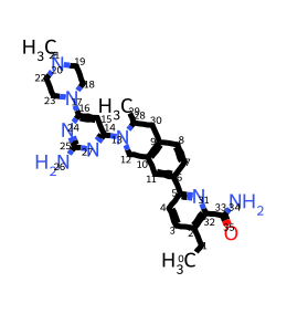 CCc1ccc(-c2ccc3c(c2)CN(c2cc(N4CCN(C)CC4)nc(N)n2)C(C)C3)nc1C(N)=O